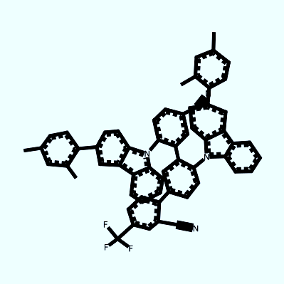 Cc1ccc(-c2ccc3c(c2)c2ccccc2n3-c2ccc(C#N)cc2-c2cc(-c3ccc(C(F)(F)F)cc3C#N)ccc2-n2c3ccccc3c3cc(-c4ccc(C)cc4C)ccc32)c(C)c1